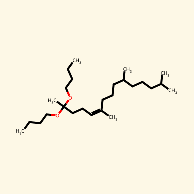 CCCCOC(C)(CCC=C(C)CCCC(C)CCCC(C)C)OCCCC